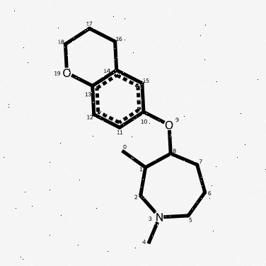 CC1CN(C)CCCC1Oc1ccc2c(c1)CCCO2